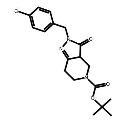 CC(C)(C)OC(=O)N1CCC2=NN(Cc3ccc(Cl)cc3)C(=O)C2C1